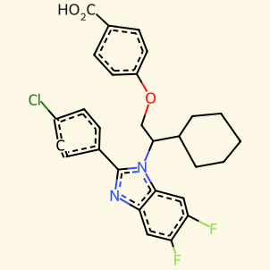 O=C(O)c1ccc(OCC(C2CCCCC2)n2c(-c3ccc(Cl)cc3)nc3cc(F)c(F)cc32)cc1